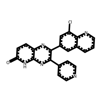 O=c1ccc2nc(-c3cc(Cl)c4ncccc4c3)c(-c3ccncc3)nc2[nH]1